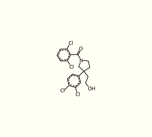 O=C(c1c(Cl)cccc1Cl)N1CCC(CCO)(c2ccc(Cl)c(Cl)c2)C1